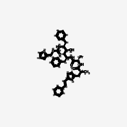 CC(C)[C@H](NC(=O)N(C)Cc1csc(C=Cc2ccccc2)n1)C(=O)N[C@@H](Cc1ccccc1)C[C@H](O)[C@H](Cc1ccccc1)NC(=O)OCc1cnco1